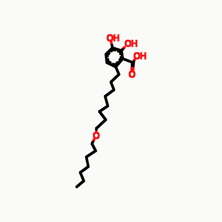 CCCCCCCOCCCCCCCCc1ccc(O)c(O)c1C(=O)O